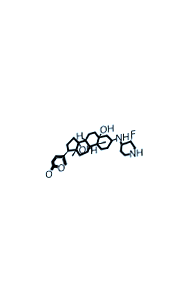 C[C@]12CC[C@H](NC3CCNC[C@H]3F)C[C@@]1(O)CC[C@@H]1[C@@H]2CC[C@]2(C)[C@@H](c3ccc(=O)oc3)CC[C@]12O